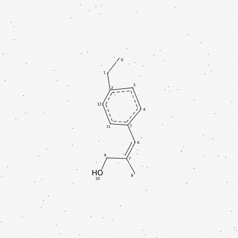 CCc1ccc(C=C(C)CO)cc1